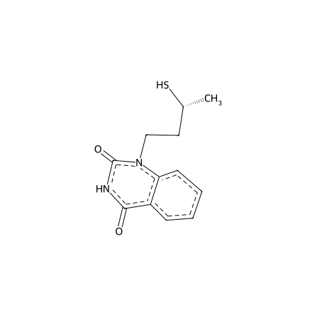 C[C@@H](S)CCn1c(=O)[nH]c(=O)c2ccccc21